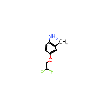 Cc1cc(OCC(F)F)ccc1N